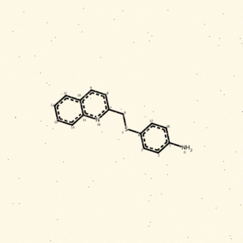 Nc1ccc(SCc2ccc3ccccc3n2)cc1